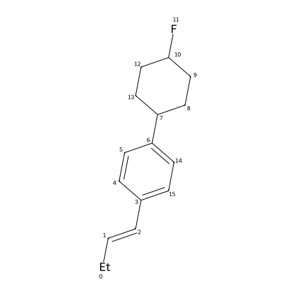 CCC=Cc1ccc(C2CCC(F)CC2)cc1